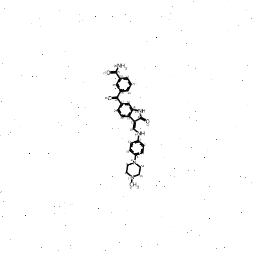 CN1CCN(c2ccc(NC=C3C(=O)Nc4cc(C(=O)c5cccc(C(N)=O)c5)ccc43)cc2)CC1